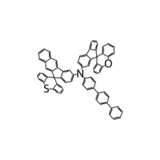 c1ccc(-c2ccc(-c3ccc(N(c4ccc5c(c4)-c4cc6ccccc6cc4C54c5ccccc5Sc5ccccc54)c4ccc5c(c4)C4(c6ccccc6Oc6ccccc64)c4ccccc4-5)cc3)cc2)cc1